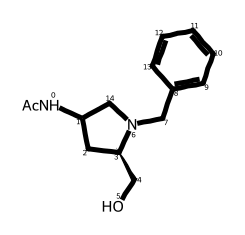 CC(=O)NC1C[C@H](CO)N(Cc2ccccc2)C1